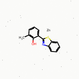 Cc1cccc(-c2nc3ccccc3s2)c1O.[Zn]